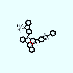 CC1(C)c2ccccc2-c2ccc(N(c3ccc4oc5cc6oc(-c7ccccc7)nc6cc5c4c3)c3ccccc3-c3ccc4ccccc4c3)cc21